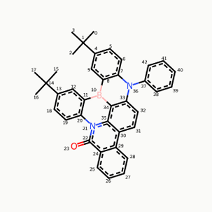 CC(C)(C)c1ccc2c(c1)B1c3cc(C(C)(C)C)ccc3-n3c(=O)c4ccccc4c4ccc(c1c43)N2c1ccccc1